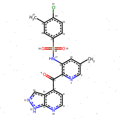 Cc1cnc(C(=O)c2ccnc3[nH]ncc23)c(NS(=O)(=O)c2ccc(Cl)c(C)c2)c1